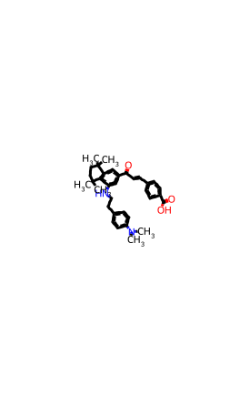 CN(C)c1ccc(CCNc2cc(C(=O)C=Cc3ccc(C(=O)O)cc3)cc3c2C(C)(C)CCC3(C)C)cc1